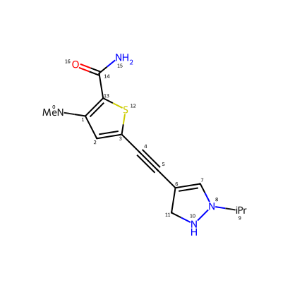 CNc1cc(C#CC2=CN(C(C)C)NC2)sc1C(N)=O